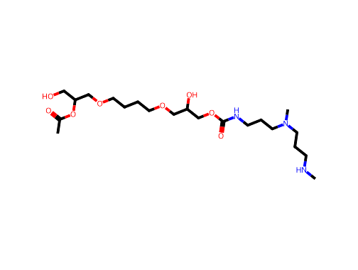 CNCCCN(C)CCCNC(=O)OCC(O)COCCCCOCC(CO)OC(C)=O